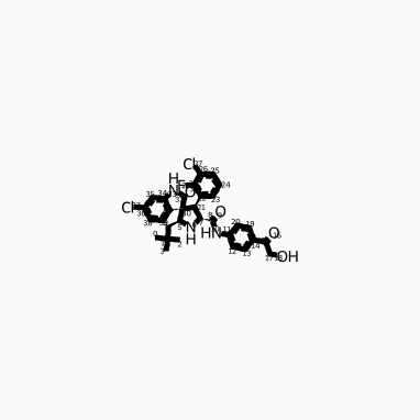 CC(C)(C)C[C@@H]1N[C@@H](C(=O)Nc2ccc(C(=O)CO)cc2)[C@H](c2cccc(Cl)c2F)[C@]12C(=O)Nc1cc(Cl)ccc12